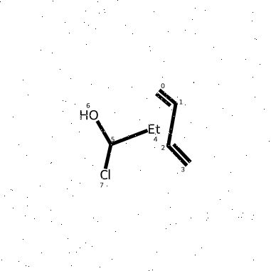 C=CC=C.CCC(O)Cl